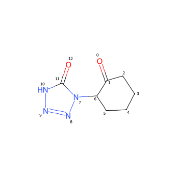 O=C1CCCCC1n1nn[nH]c1=O